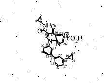 O=C(NC1CC1)c1cn(-c2cccc(-c3cccc(C4CC4)c3)c2)c2ncccc2c1=O.O=C(O)O